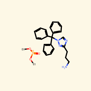 CCO[PH](=O)OCC.NCCCc1ncn(C(c2ccccc2)(c2ccccc2)c2ccccc2)n1